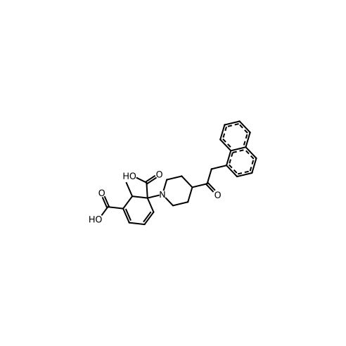 CC1C(C(=O)O)=CC=CC1(C(=O)O)N1CCC(C(=O)Cc2cccc3ccccc23)CC1